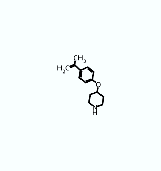 C=C(C)c1ccc(OC2CCNCC2)cc1